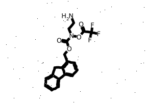 NCCN(OC(=O)C(F)(F)F)C(=O)OCc1cccc2c1Cc1ccccc1-2